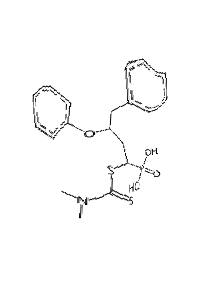 CN(C)C(=S)SC(CC(Cc1ccccc1)Oc1ccccc1)P(=O)(O)O